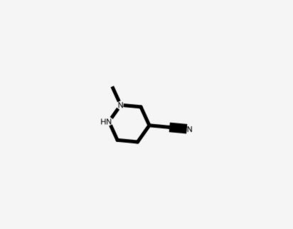 CN1CC(C#N)CCN1